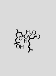 CC(C)=CCCC(C)CC=O.CC(CCCC(C)(C)O)CC(=O)O.O